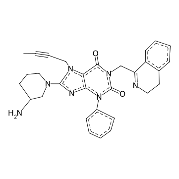 CC#CCn1c(N2CCCC(N)C2)nc2c1c(=O)n(CC1=NCCc3ccccc31)c(=O)n2-c1ccccc1